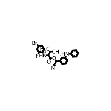 CC(C)C(Nc1ccc(Br)cc1F)C(=O)OC(C#N)c1cccc(Nc2ccccc2)c1